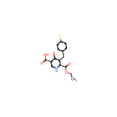 CCOC(=O)c1[nH]cc(C(=O)O)c(=O)c1Cc1ccc(F)cc1